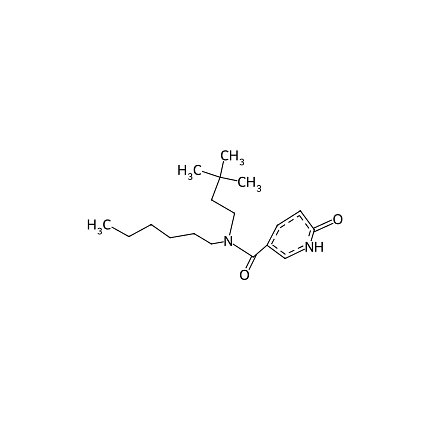 CCCCCCN(CCC(C)(C)C)C(=O)c1ccc(=O)[nH]c1